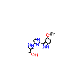 CC(C)Oc1ccc2nn(C)c(-c3nccc(-n4cc(C(C)O)cn4)n3)c2c1